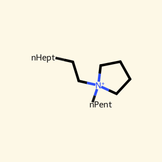 CCCCCCCCC[N+]1(CCCCC)CCCC1